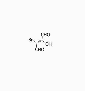 O=CC(O)=C(Br)C=O